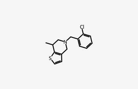 CC1CN(Cc2ccccc2Cl)Cc2ccsc21